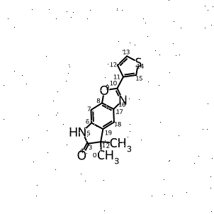 CC1(C)C(=O)Nc2cc3oc(-c4ccsc4)nc3cc21